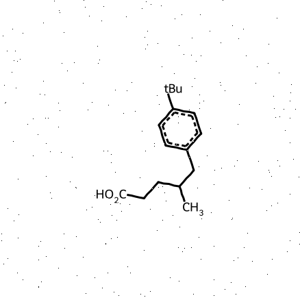 CC(CCC(=O)O)Cc1ccc(C(C)(C)C)cc1